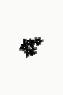 Cc1cnc(COc2ccc(Nc3nc(C)cc(-c4cc(F)c5nc(C)n(C(C)C)c5c4)n3)cc2Cl)c(C)c1